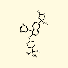 CC(C)(C)[C@H]1CC[C@H](Oc2ccc3cc([C@]4(C)COC(=O)N4)ccc3c2-c2cncnc2)CC1